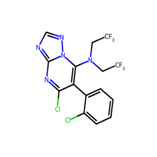 FC(F)(F)CN(CC(F)(F)F)c1c(-c2ccccc2Cl)c(Cl)nc2ncnn12